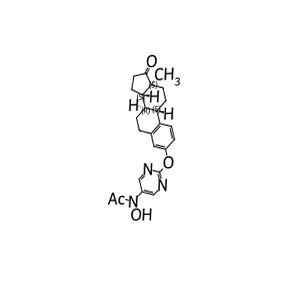 CC(=O)N(O)c1cnc(Oc2ccc3c(c2)CC[C@@H]2[C@@H]3CC[C@]3(C)C(=O)CC[C@@H]23)nc1